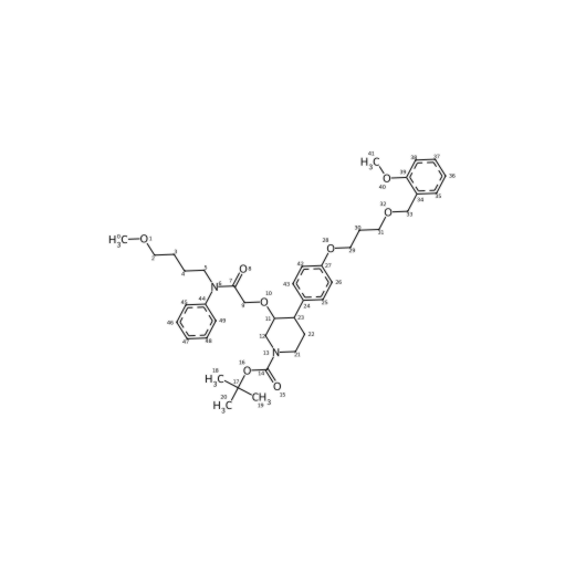 COCCCCN(C(=O)COC1CN(C(=O)OC(C)(C)C)CCC1c1ccc(OCCCOCc2ccccc2OC)cc1)c1ccccc1